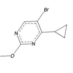 COc1ncc(Br)c(C2CC2)n1